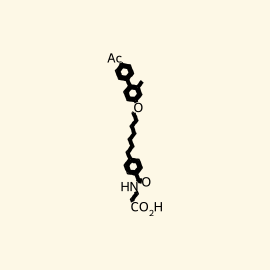 CC(=O)c1ccc(-c2ccc(OCCCCCCCc3ccc(C(=O)NCCC(=O)O)cc3)cc2C)cc1